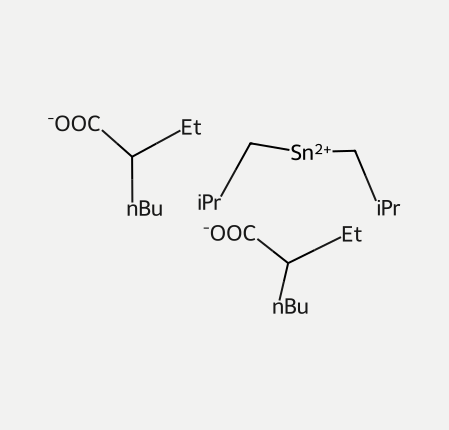 CC(C)[CH2][Sn+2][CH2]C(C)C.CCCCC(CC)C(=O)[O-].CCCCC(CC)C(=O)[O-]